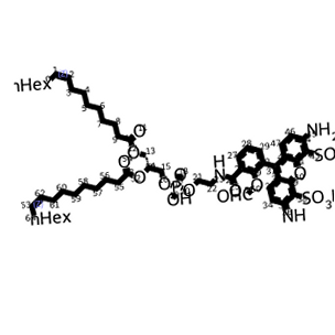 CCCCCC/C=C\CCCCCCCC(=O)OC[C@H](COP(=O)(O)OCCNC(=O)c1cccc(-c2c3ccc(=N)c(S(=O)(=O)O)c-3oc3c(S(=O)(=O)O)c(N)ccc23)c1OC=O)OC(=O)CCCCCCC/C=C\CCCCCC